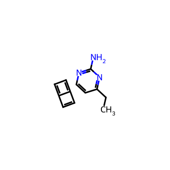 CCc1ccnc(N)n1.c1cc2ccc1-2